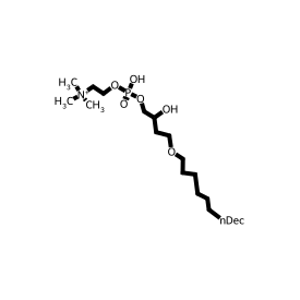 CCCCCCCCCCCCCCCCOCCC(O)COP(=O)(O)OCC[N+](C)(C)C